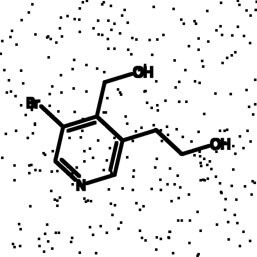 OCCc1cncc(Br)c1CO